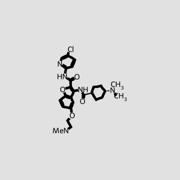 CNCCOc1ccc2oc(C(=O)Nc3ccc(Cl)cn3)c(NC(=O)[C@H]3CC[C@H](N(C)C)CC3)c2c1